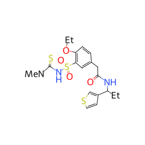 CCOc1ccc(CC(=O)NC(CC)c2ccsc2)cc1S(=O)(=O)NC(=S)NC